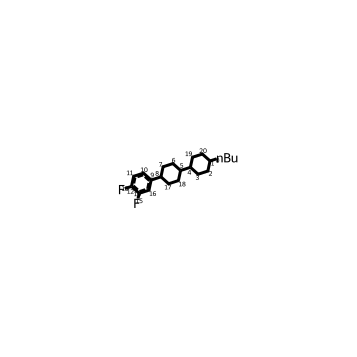 CCCCC1CCC(C2CCC(c3ccc(F)c(F)c3)CC2)CC1